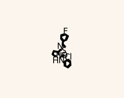 O=C(Nc1ccccc1Cl)N1CCCC1c1nc(-c2ccc(F)cc2)cs1